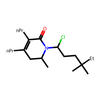 CCCC1=C(CCC)C(=O)N(C(Cl)CCC(C)(C)CC)C(C)C1